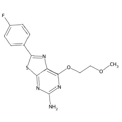 COCCOc1nc(N)nc2sc(-c3ccc(F)cc3)nc12